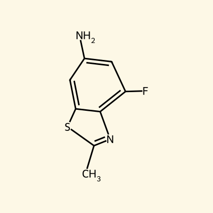 Cc1nc2c(F)cc(N)cc2s1